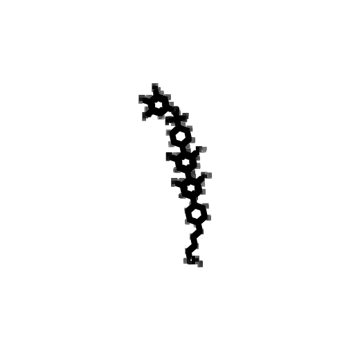 CCCCCC1CCC(c2cc(F)c(-c3cc(F)c(C4CCC(C(F)(F)Oc5cc(F)c(F)c(F)c5)CC4)c(F)c3)c(F)c2)CC1